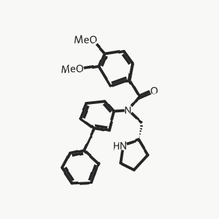 COc1ccc(C(=O)N(C[C@@H]2CCCN2)c2cccc(-c3ccccc3)c2)cc1OC